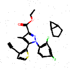 C#Cc1ccsc1-c1c(C)c(C(=O)OCC)nn1-c1ccc(Cl)cc1Cl.C1CC2CC2C1